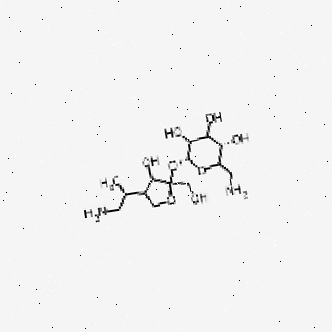 C[C@H](CN)C1CO[C@@](CO)(O[C@H]2OC(CN)[C@@H](O)C(O)C2O)C1O